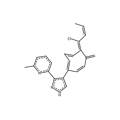 C=C1\C=C/C(c2c[nH]nc2-c2cccc(C)n2)=C/C=C/C1=C(Cl)/C=C\C